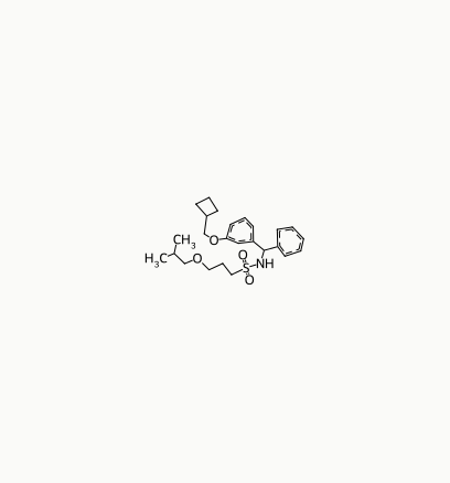 CC(C)COCCCS(=O)(=O)NC(c1ccccc1)c1cccc(OCC2CCC2)c1